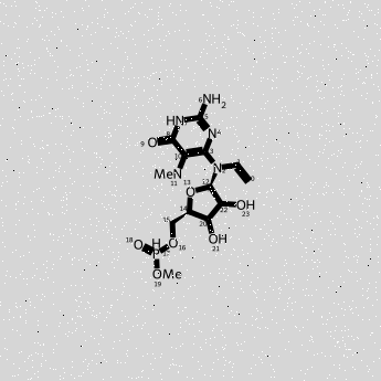 C=CN(c1nc(N)[nH]c(=O)c1NC)[C@@H]1O[C@H](CO[PH](=O)OC)C(O)C1O